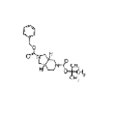 CC(C)(C)OC(=O)N1CC[C@@H]2CN(C(=O)OCc3ccccc3)C[C@@H]2C1